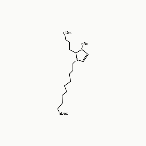 CCCCCCCCCCCCCCCCCCCN1C=CN(CCCC)C1CCCCCCCCCCCCC